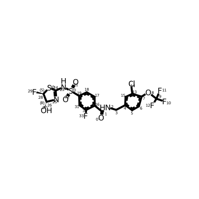 O=C(NCc1ccc(OC(F)(F)F)c(Cl)c1)c1ccc(S(=O)(=O)NC2=N[C@H](O)[C@@H](F)S2)cc1F